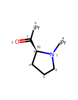 CC(C)C(=O)[C@@H]1CCCN1C(C)C